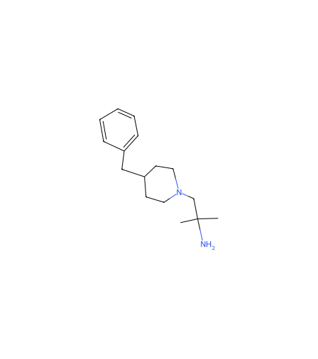 CC(C)(N)CN1CCC(Cc2ccccc2)CC1